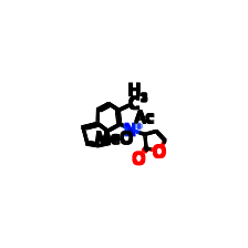 CO[N+](C(C)=O)(c1c(C)ccc2ccccc12)C1CCOC1=O